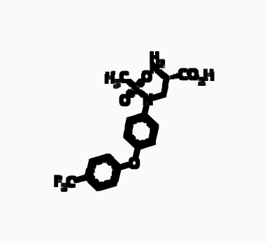 CS(=O)(=O)N(C[C@H](N)C(=O)O)c1ccc(Oc2ccc(C(F)(F)F)cc2)cc1